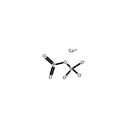 O=P(=O)O[Si]([O-])([O-])[O-].[Ga+3]